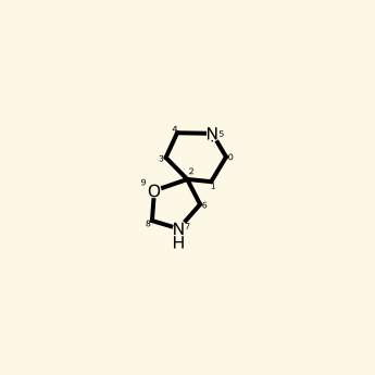 C1CC2(CC[N]1)CNCO2